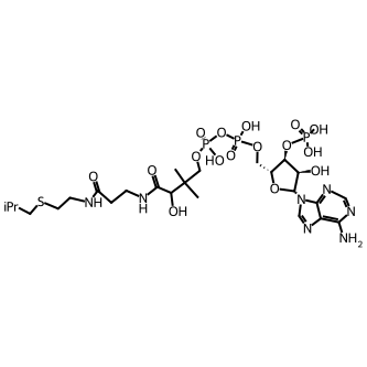 CC(C)CSCCNC(=O)CCNC(=O)C(O)C(C)(C)COP(=O)(O)OP(=O)(O)OC[C@H]1O[C@@H](n2cnc3c(N)ncnc32)[C@H](O)[C@@H]1OP(=O)(O)O